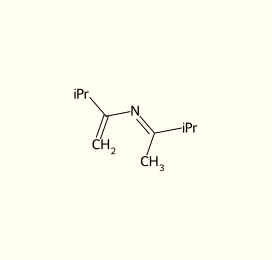 C=C(/N=C(\C)C(C)C)C(C)C